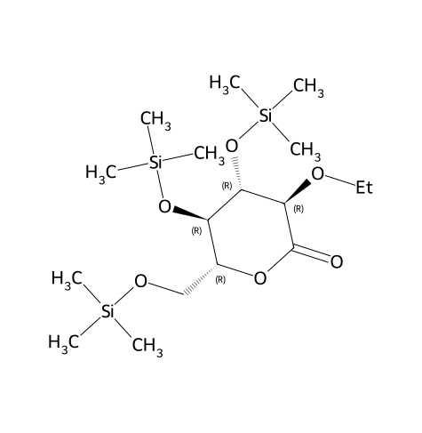 CCO[C@H]1C(=O)O[C@H](CO[Si](C)(C)C)[C@@H](O[Si](C)(C)C)[C@@H]1O[Si](C)(C)C